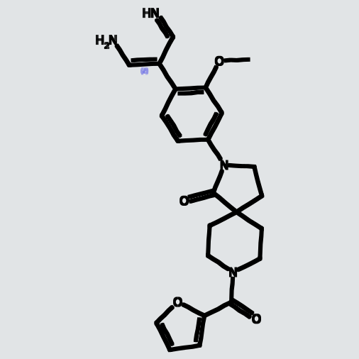 COc1cc(N2CCC3(CCN(C(=O)c4ccco4)CC3)C2=O)ccc1/C(C=N)=C/N